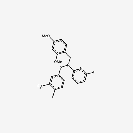 COc1ccc(CN(Sc2cc(C(F)(F)F)c(F)cn2)c2cccc(F)n2)c(OC)c1